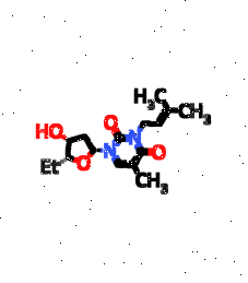 CC[C@H]1O[C@@H](n2cc(C)c(=O)n(CC=C(C)C)c2=O)C[C@H]1O